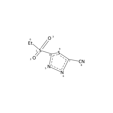 CCS(=O)(=O)c1nnc(C#N)s1